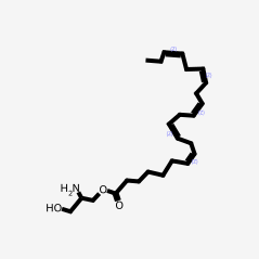 CC/C=C\C/C=C\C/C=C\C/C=C\C/C=C\CCCCCC(=O)OCC(N)CO